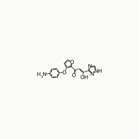 Nc1ccc(Oc2ccoc2C(=O)C=C(O)c2nc[nH]n2)cc1